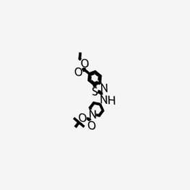 CCOC(=O)c1ccc2nc(NC3CCN(C(=O)OC(C)(C)C)CC3)sc2c1